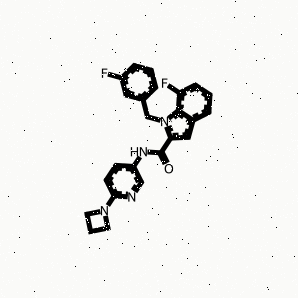 O=C(Nc1ccc(N2CCC2)nc1)c1cc2cccc(F)c2n1Cc1cccc(F)c1